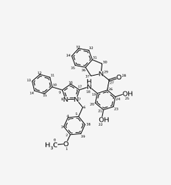 COc1ccc(Cn2nc(-c3ccccc3)cc2Nc2cc(O)cc(O)c2C(=O)N2Cc3ccccc3C2)cc1